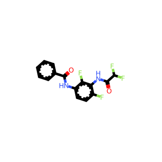 O=C(Nc1ccc(F)c(NC(=O)C(F)F)c1F)c1ccccc1